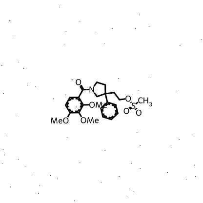 COc1ccc(C(=O)N2CCC(CCOS(C)(=O)=O)(c3ccccc3)C2)c(OC)c1OC